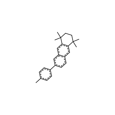 Cc1ccc(-c2ccc3cc4c(cc3c2)C(C)(C)CCC4(C)C)cc1